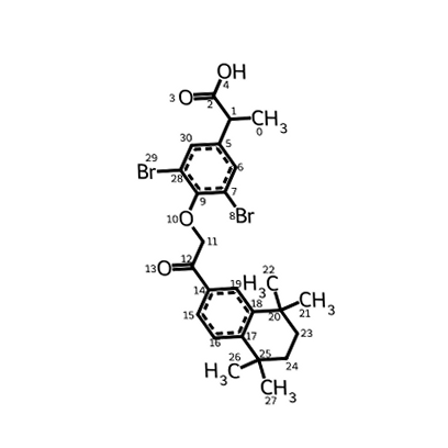 CC(C(=O)O)c1cc(Br)c(OCC(=O)c2ccc3c(c2)C(C)(C)CCC3(C)C)c(Br)c1